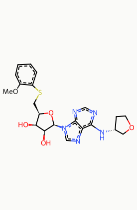 COc1ccccc1SC[C@H]1O[C@@H](n2cnc3c(N[C@@H]4CCOC4)ncnc32)[C@@H](O)[C@H]1O